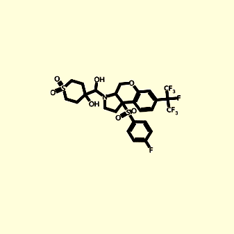 O=S1(=O)CCC(O)(C(O)N2CCC3(S(=O)(=O)c4ccc(F)cc4)c4ccc(C(F)(C(F)(F)F)C(F)(F)F)cc4OCC23)CC1